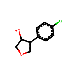 OC1COCC1c1ccc(Cl)cc1